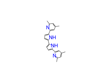 Cc1cc(C)nc(-c2ccc(-c3ccc(-c4cc(C)cc(C)n4)[nH]3)[nH]2)c1